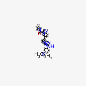 CN(C)[C@H]1CC[C@H](Nc2ncc3c(-c4ccc5ncc(C(=O)N6CCCC6)n5c4)ccn3n2)CC1